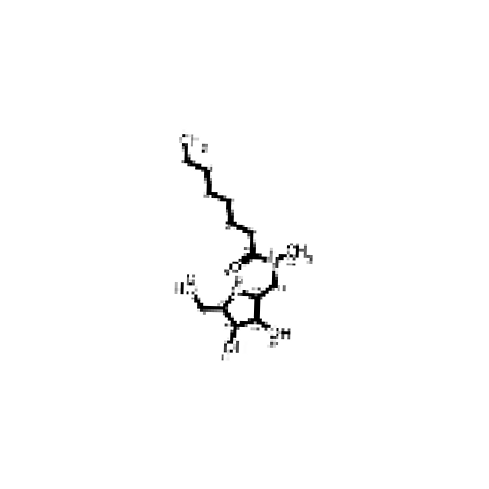 CCCCCCCC(=O)N(C)CC1OC(CO)C(O)C1O